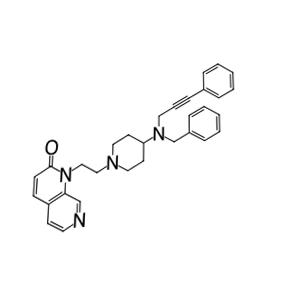 O=c1ccc2ccncc2n1CCN1CCC(N(CC#Cc2ccccc2)Cc2ccccc2)CC1